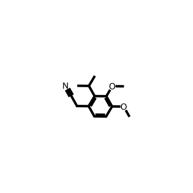 COc1ccc(CC#N)c(C(C)C)c1OC